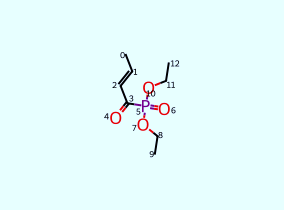 C/C=C/C(=O)P(=O)(OCC)OCC